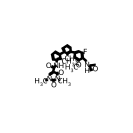 COc1cc(-c2cccc(-c3cccc(NC(=O)c4cn(C)c(=O)n(C)c4=O)c3C)c2C)cc(F)c1CNC1COC1